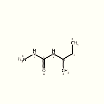 CCC(C)NC(=O)NN